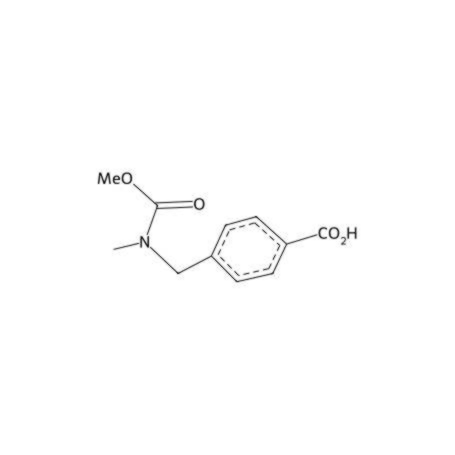 COC(=O)N(C)Cc1ccc(C(=O)O)cc1